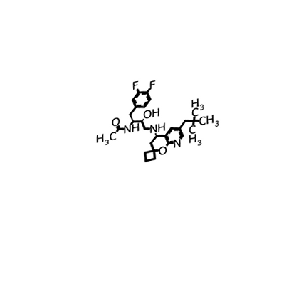 CC(=O)N[C@@H](Cc1ccc(F)c(F)c1)[C@H](O)CN[C@H]1CC2(CCC2)Oc2ncc(CC(C)(C)C)cc21